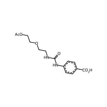 CC(=O)OCCOCCNC(=O)Nc1ccc(C(=O)O)cc1